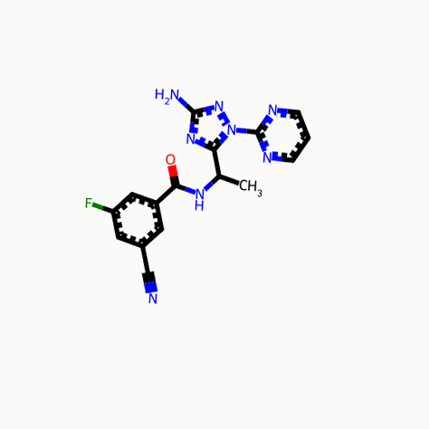 CC(NC(=O)c1cc(F)cc(C#N)c1)c1nc(N)nn1-c1ncccn1